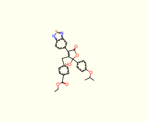 CCOC(=O)c1ccc(CC2=C(c3ccc4nsnc4c3)C(=O)OC2(O)c2ccc(OC(C)C)cc2)cc1